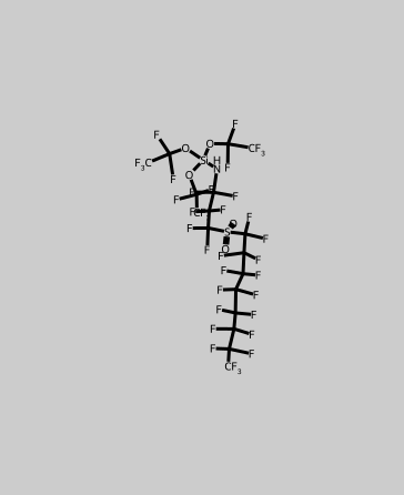 O=S(=O)(C(F)(F)C(F)(F)C(F)(F)N[Si](OC(F)(F)C(F)(F)F)(OC(F)(F)C(F)(F)F)OC(F)(F)C(F)(F)F)C(F)(F)C(F)(F)C(F)(F)C(F)(F)C(F)(F)C(F)(F)C(F)(F)C(F)(F)F